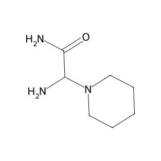 NC(=O)C(N)N1CCCCC1